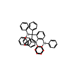 c1ccc(N(c2ccccc2)c2cccc(C(c3ccccc3)(c3ccccc3)N(c3ccccc3)c3ccccc3)c2N(c2ccccc2)c2ccccc2)cc1